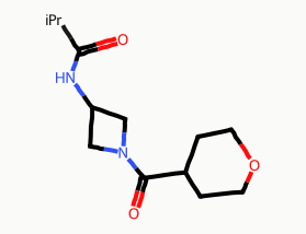 CC(C)C(=O)NC1CN(C(=O)C2CCOCC2)C1